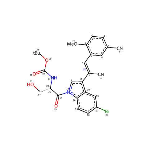 COc1ccc(C#N)cc1/C=C(\C#N)c1cn(C(=O)[C@H](CO)NC(=O)OC(C)(C)C)c2ccc(Br)cc12